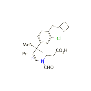 CNC(C)(/C(=C\N(C=O)CCC(=O)O)C(C)C)c1ccc(C=C2CCC2)c(Cl)c1